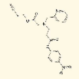 N#CCCOC(=O)CN(CCC(=O)Oc1ccc([N+](=O)[O-])cc1)Cc1ccccn1